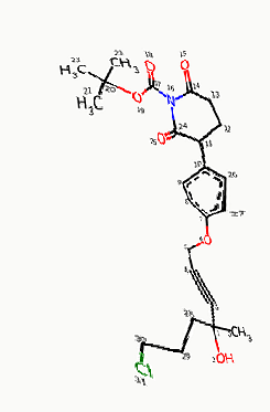 CC(O)(C#CCOc1ccc(C2CCC(=O)N(C(=O)OC(C)(C)C)C2=O)cc1)CCCCl